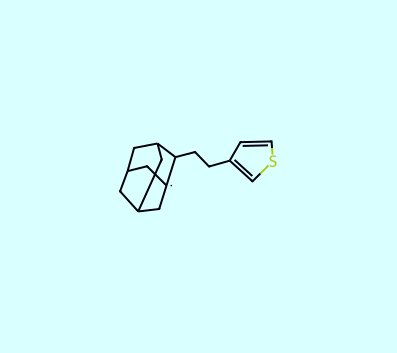 c1cc(CCC2[C]3CC4CC(C3)CC2C4)cs1